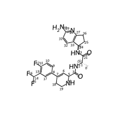 C[C@H](NC(=O)C1C=C(c2ccc(F)c(C(F)F)c2)CCN1)C(=O)N[C@@H]1CCc2nc(N)ccc21